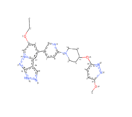 CCOc1cc(-c2ccc(N3CCC(Oc4ccc(OC)nn4)CC3)nc2)c2c3cn[nH]c3nn2c1